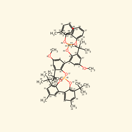 COc1cc(-c2cc(OC)cc(C(C)(C)C)c2Op2oc3c(C(C)(C)C)cc(C)cc3c3cc(C)cc(C(C)(C)C)c3o2)c(OP(Oc2ccccc2C)Oc2ccccc2C)c(C(C)(C)C)c1